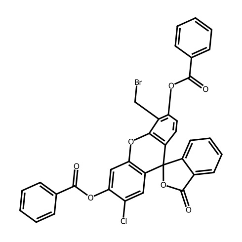 O=C(Oc1cc2c(cc1Cl)C1(OC(=O)c3ccccc31)c1ccc(OC(=O)c3ccccc3)c(CBr)c1O2)c1ccccc1